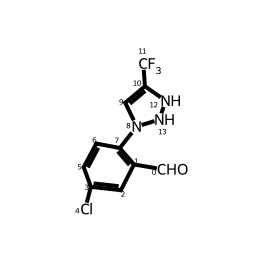 O=Cc1cc(Cl)ccc1N1C=C(C(F)(F)F)NN1